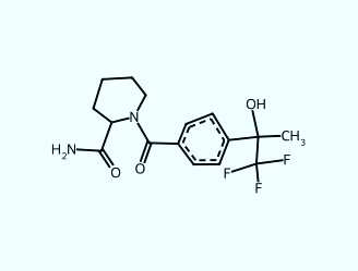 CC(O)(c1ccc(C(=O)N2CCCCC2C(N)=O)cc1)C(F)(F)F